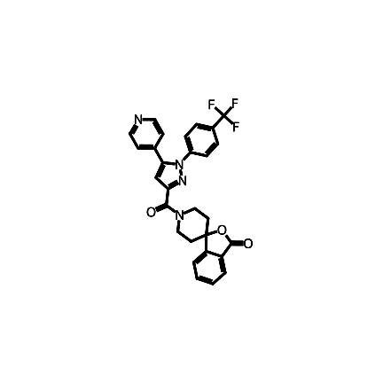 O=C1OC2(CCN(C(=O)c3cc(-c4ccncc4)n(-c4ccc(C(F)(F)F)cc4)n3)CC2)c2ccccc21